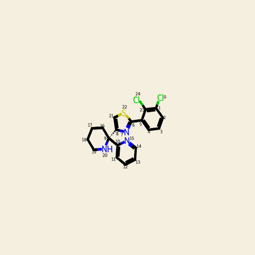 Clc1cccc(-c2nc([C@@]3(c4ccccn4)CCCCN3)cs2)c1Cl